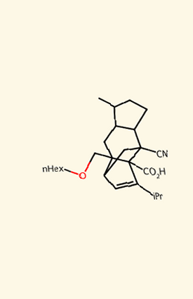 CCCCCCOCC12CC3C(C)CCC3C3(C#N)CC1C=C(C(C)C)C32C(=O)O